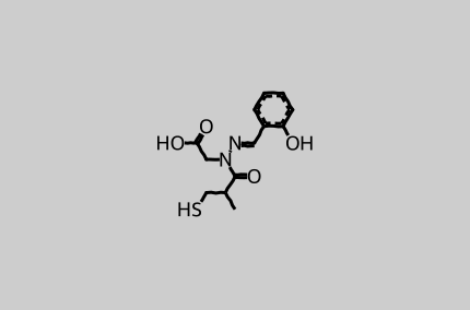 CC(CS)C(=O)N(CC(=O)O)N=Cc1ccccc1O